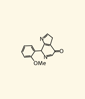 COc1ccccc1C1N=CC(=O)C2=C1N=CC2